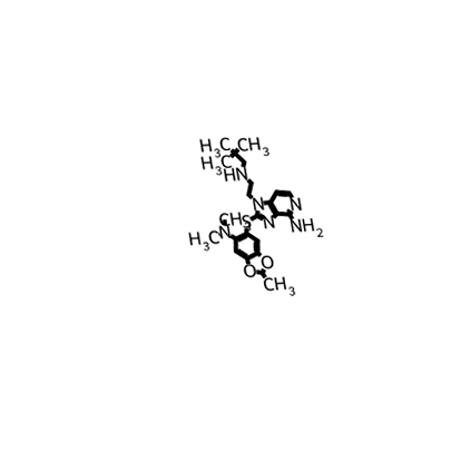 CC1Oc2cc(Sc3nc4c(N)nccc4n3CCNCC(C)(C)C)c(N(C)C)cc2O1